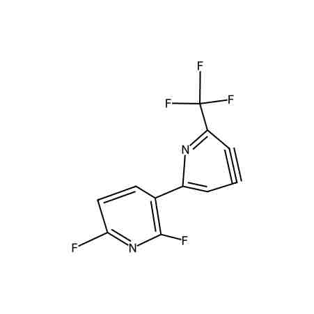 Fc1ccc(-c2cc#cc(C(F)(F)F)n2)c(F)n1